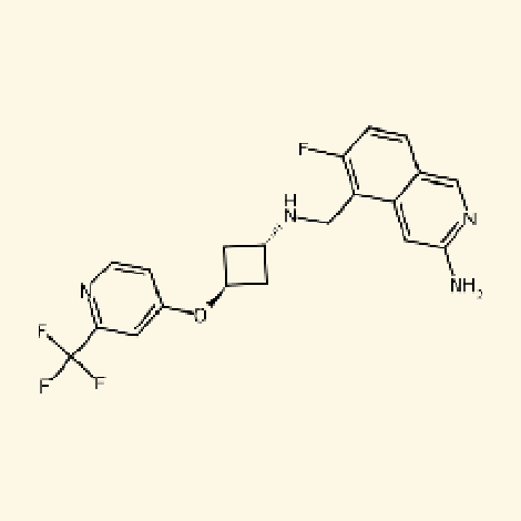 Nc1cc2c(CN[C@H]3C[C@H](Oc4ccnc(C(F)(F)F)c4)C3)c(F)ccc2cn1